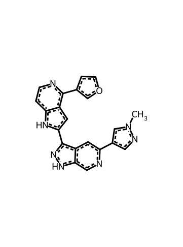 Cn1cc(-c2cc3c(-c4cc5c(-c6ccoc6)nccc5[nH]4)n[nH]c3cn2)cn1